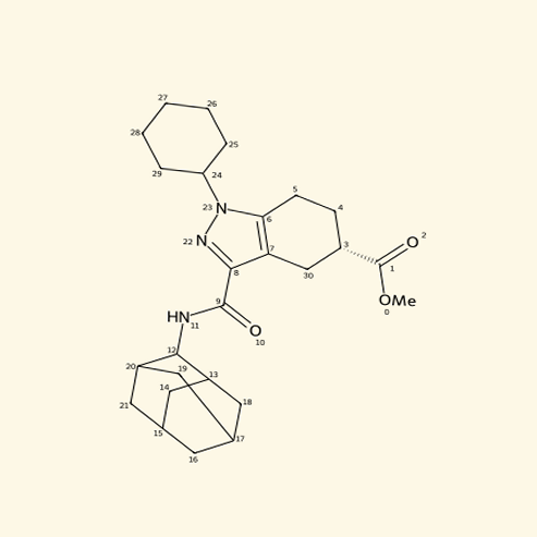 COC(=O)[C@H]1CCc2c(c(C(=O)NC3C4CC5CC(C4)CC3C5)nn2C2CCCCC2)C1